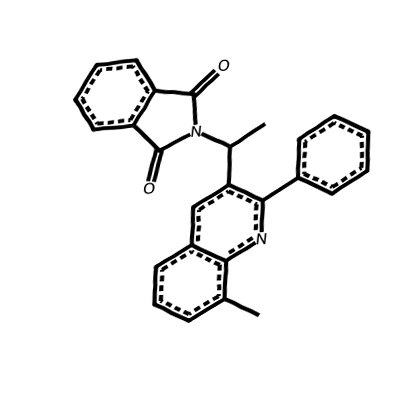 Cc1cccc2cc(C(C)N3C(=O)c4ccccc4C3=O)c(-c3ccccc3)nc12